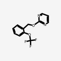 FC(F)(F)Oc1ccccc1COc1ncccn1